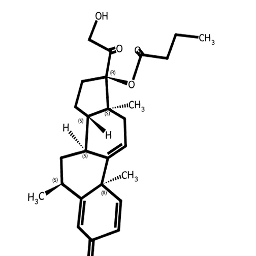 CCCC(=O)O[C@]1(C(=O)CO)CC[C@H]2[C@@H]3C[C@H](C)C4=CC(=O)C=C[C@]4(C)C3=CC[C@@]21C